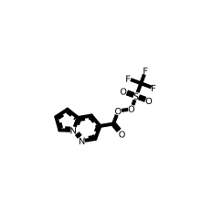 O=C(OOS(=O)(=O)C(F)(F)F)c1cnn2cccc2c1